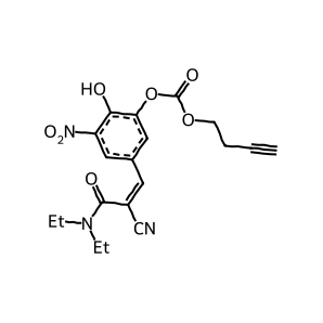 C#CCCOC(=O)Oc1cc(C=C(C#N)C(=O)N(CC)CC)cc([N+](=O)[O-])c1O